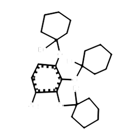 CCC1(Oc2ccc(O)c(OC3(CC)CCCCC3)c2OC2(CC)CCCCC2)CCCCC1